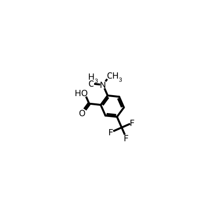 CN(C)c1ccc(C(F)(F)F)cc1C(=O)O